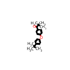 CC(C)(C)C(=O)c1ccc(Oc2ccc(C(C)(C)C)cc2)cc1